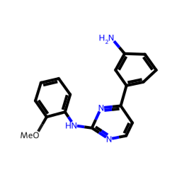 COc1ccccc1Nc1nccc(-c2cccc(N)c2)n1